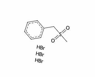 Br.Br.Br.CS(=O)(=O)Cc1ccccc1